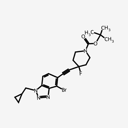 CC(C)(C)OC(=O)N1CCC(F)(C#Cc2ccc3c(nnn3CC3CC3)c2Br)CC1